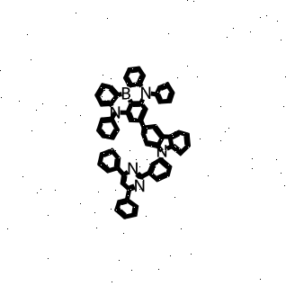 c1ccc(-c2cc(-c3ccccc3)nc(-c3cccc(-n4c5ccccc5c5cc(-c6cc7c8c(c6)N(c6ccccc6)c6ccccc6B8c6ccccc6N7c6ccccc6)ccc54)c3)n2)cc1